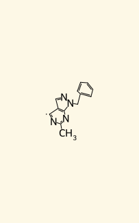 Cc1n[c]c2cnn(Cc3ccccc3)c2n1